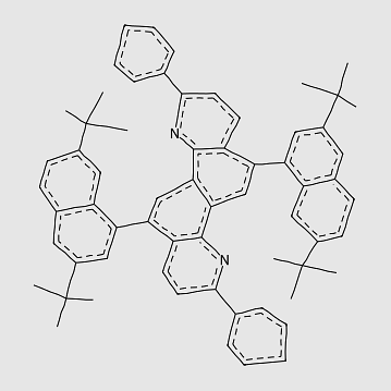 CC(C)(C)c1cc(-c2cc3c(cc(-c4cc(C(C)(C)C)cc5ccc(C(C)(C)C)cc45)c4ccc(-c5ccccc5)nc43)c3nc(-c4ccccc4)ccc23)c2cc(C(C)(C)C)ccc2c1